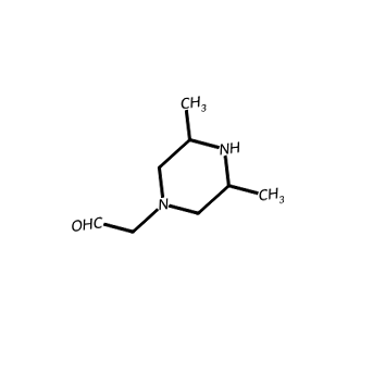 CC1CN(CC=O)CC(C)N1